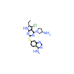 CCc1[nH]c2nc(Sc3ccc4c(NC)ncnc4c3)nc(N3CCC(N)C3)c2c1Cl